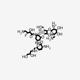 NC[C@@H]1O[C@H](O[C@H]2[C@@H](O)[C@H](O[C@@H]3[C@@H](O)[C@H](NC(=O)C(O)[C@@H](F)CN)C[C@H](N)[C@H]3O[C@H]3O[C@H](CNCC(O)CO)C=C[C@H]3N)O[C@@H]2CO)[C@H](N)[C@@H](O)[C@@H]1O